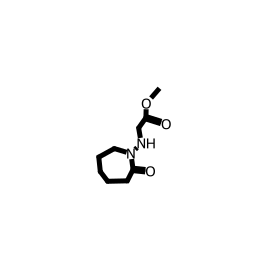 COC(=O)CNN1CCCCCC1=O